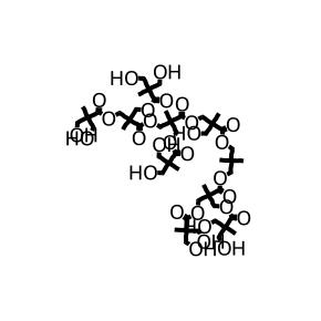 CC(C)(COC(=O)C(C)(CO)COC(=O)C(C)(COC(=O)C(C)(CO)CO)COC(=O)C(C)(COC(=O)C(C)(CO)CO)COC(=O)C(C)(CO)CO)COC(=O)C(C)(COC(=O)C(C)(CO)CO)COC(=O)C(C)(CO)CO